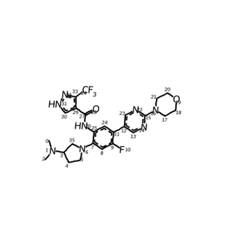 CN(C)C1CCN(c2cc(F)c(-c3cnc(N4CCOCC4)nc3)cc2NC(=O)c2c[nH]nc2C(F)(F)F)C1